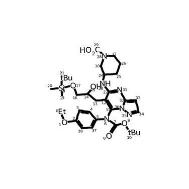 CCOc1ccc(N(C(=O)OC(C)(C)C)c2c(CC(O)CO[Si](C)(C)C(C)(C)C)c(NC3CCCN(C(=O)O)C3)nc3ccnn23)cc1